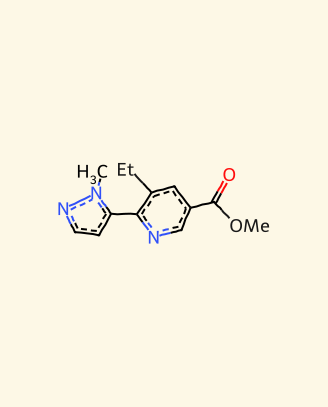 CCc1cc(C(=O)OC)cnc1-c1ccnn1C